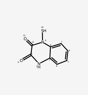 O=c1[nH]c2ccccc2n(S)c1=O